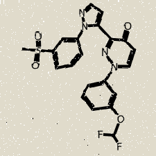 CS(=O)(=O)c1cccc(-n2nccc2-c2nn(-c3cccc(OC(F)F)c3)ccc2=O)c1